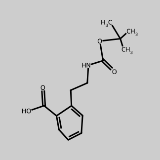 CC(C)(C)OC(=O)NCCc1ccccc1C(=O)O